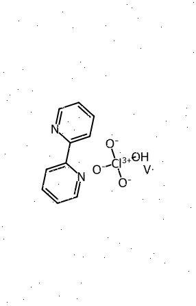 [O-][Cl+3]([O-])([O-])O.[V].c1ccc(-c2ccccn2)nc1